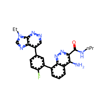 CCCNC(=O)c1nnc2c(-c3cc(-c4cnnc5c4ncn5CC)ccc3F)cccc2c1N